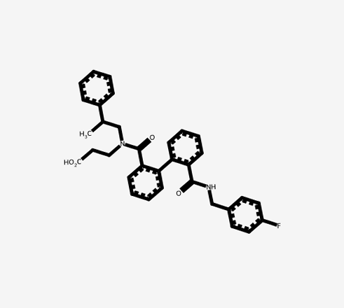 CC(CN(CCC(=O)O)C(=O)c1ccccc1-c1ccccc1C(=O)NCc1ccc(F)cc1)c1ccccc1